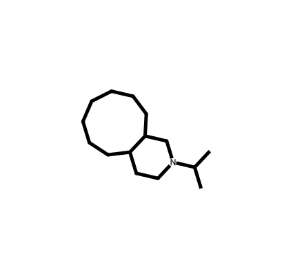 CC(C)N1CCC2CCCCCCCC2C1